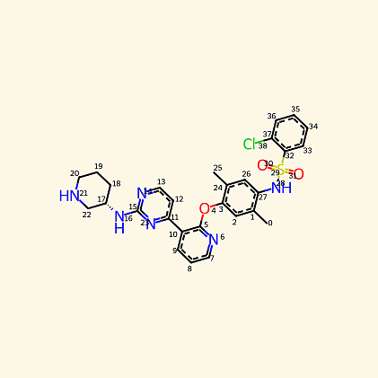 Cc1cc(Oc2ncccc2-c2ccnc(N[C@H]3CCCNC3)n2)c(C)cc1NS(=O)(=O)c1ccccc1Cl